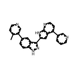 Cc1ccncc1-c1ccc2[nH]nc(-c3cc4c(-c5cccnc5)ccnc4[nH]3)c2c1